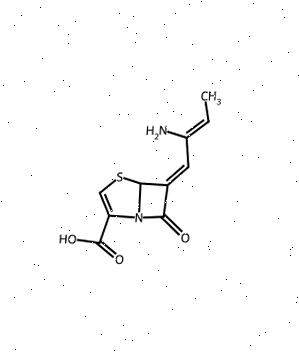 C/C=C(N)/C=C1/C(=O)N2C(C(=O)O)=CSC12